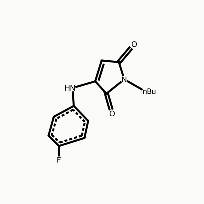 CCCCN1C(=O)C=C(Nc2ccc(F)cc2)C1=O